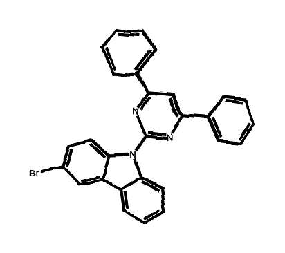 Brc1ccc2c(c1)c1ccccc1n2-c1nc(-c2ccccc2)cc(-c2ccccc2)n1